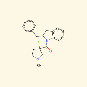 N#CN1CCC(F)(C(=O)N2c3ccccc3CC2Cc2ccccc2)C1